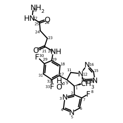 C[C@@H](c1ncncc1F)[C@](O)(Cn1cncn1)c1cc(NC(=O)CCC(=O)NN)c(F)cc1F